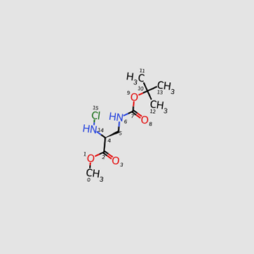 COC(=O)[C@H](CNC(=O)OC(C)(C)C)NCl